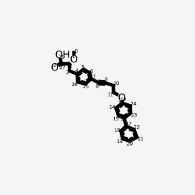 COC(Cc1ccc(C#CCCOc2ccc(-c3ccccc3)cc2)cc1)C(=O)O